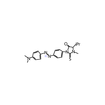 CC(C)C1C(=O)N(c2ccc(/N=N/c3ccc(N(C)C)cc3)cc2)C(=S)N1C